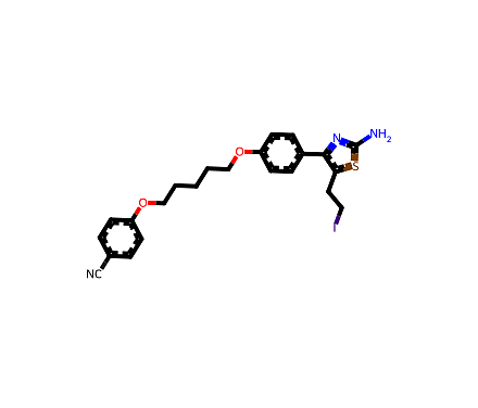 N#Cc1ccc(OCCCCCOc2ccc(-c3nc(N)sc3CCI)cc2)cc1